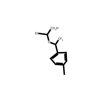 CCC(OC(c1ccc(C)cc1)C(F)(F)F)C(=O)O